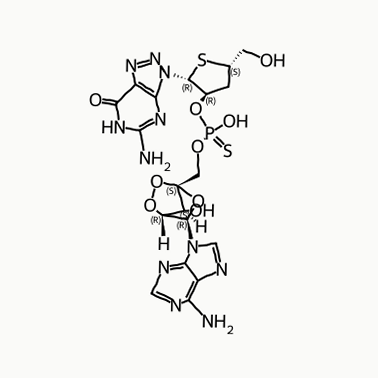 Nc1nc2c(nnn2[C@@H]2S[C@H](CO)C[C@H]2OP(O)(=S)OC[C@@]23OO[C@@H]([C@H](n4cnc5c(N)ncnc54)O2)[C@@H]3O)c(=O)[nH]1